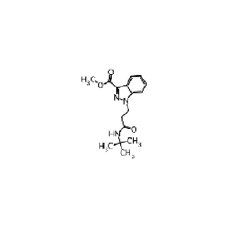 COC(=O)c1nn(CCC(=O)NC(C)(C)C)c2ccccc12